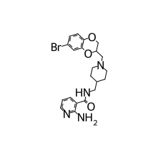 Nc1ncccc1C(=O)NCC1CCN(CC2COc3ccc(Br)cc3O2)CC1